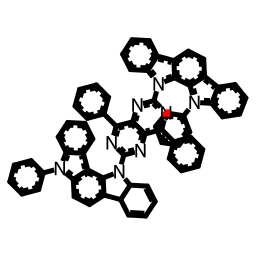 C1=CC2c3ccc4c(c3N(c3nc(-c5ccccc5)c5nc(-n6c7ccccc7c7ccc8c9ccccc9n(-c9ccccc9)c8c76)nc(-c6ccccc6)c5n3)C2C=C1)c1ccccc1n4-c1ccccc1